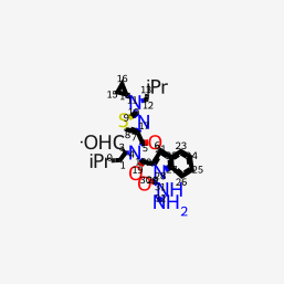 CC(C)C[C@@H]([C]=O)N(C(=O)c1csc(N(CC(C)C)C2CC2)n1)C(=O)c1cc2ccccc2n1C(=O)NN